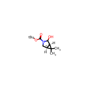 CC(C)(C)OC(=O)N1C[C@H]2[C@@H](C1O)C2(C)C